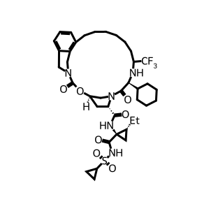 CC[C@@H]1C[C@]1(NC(=O)[C@@H]1C[C@@H]2CN1C(=O)[C@H](C1CCCCC1)NC(C(F)(F)F)CCCCCCc1cccc3c1CN(C3)C(=O)O2)C(=O)NS(=O)(=O)C1CC1